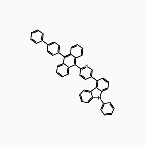 c1ccc(-c2ccc(-c3c4ccccc4c(-c4ccc(-c5cccc6c5c5ccccc5n6-c5ccccc5)cn4)c4ccccc34)cc2)cc1